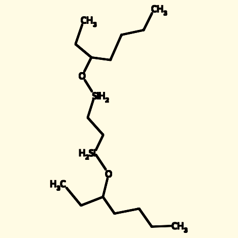 CCCCC(CC)O[SiH2]CC[SiH2]OC(CC)CCCC